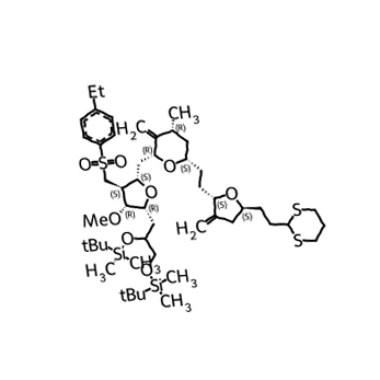 C=C1C[C@H](CCC2SCCCS2)O[C@H]1CC[C@H]1C[C@@H](C)C(=C)[C@@H](C[C@@H]2O[C@H](CC(CO[Si](C)(C)C(C)(C)C)O[Si](C)(C)C(C)(C)C)[C@H](OC)[C@H]2CS(=O)(=O)c2ccc(CC)cc2)O1